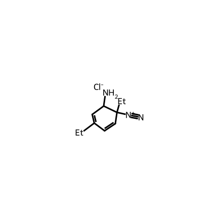 CCC1=CC(N)C(CC)([N+]#N)C=C1.[Cl-]